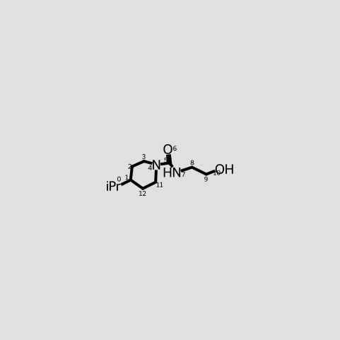 CC(C)C1CCN(C(=O)NCCO)CC1